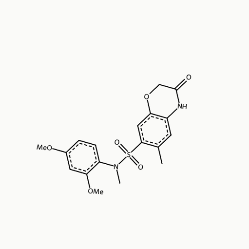 COc1ccc(N(C)S(=O)(=O)c2cc3c(cc2C)NC(=O)CO3)c(OC)c1